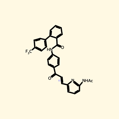 CC(=O)Nc1cccc(/C=C/C(=O)c2ccc(NC(=O)c3ccccc3-c3ccc(C(F)(F)F)cc3)cc2)n1